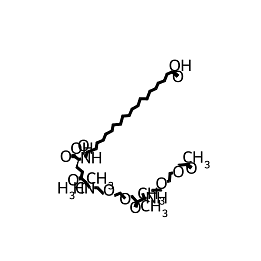 CC(=O)COCCOCCNC(C)(C)C(=O)COCCOCCNC(C)(C)C(=O)CC[C@H](NC(=O)CCCCCCCCCCCCCCCCCCC(=O)O)C(=O)O